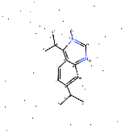 CC(C)c1ccc2c(C(C)C)[n+](C)cnc2c1